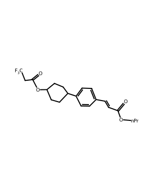 CCCOC(=O)/C=C/c1ccc(C2CCC(OC(=O)CC(F)(F)F)CC2)cc1